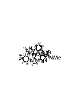 CNC(=O)c1nnc(N2CCN(C3CCC(F)(F)CC3)C2=O)cc1Nc1cccc(-c2ncn(C)n2)c1OC